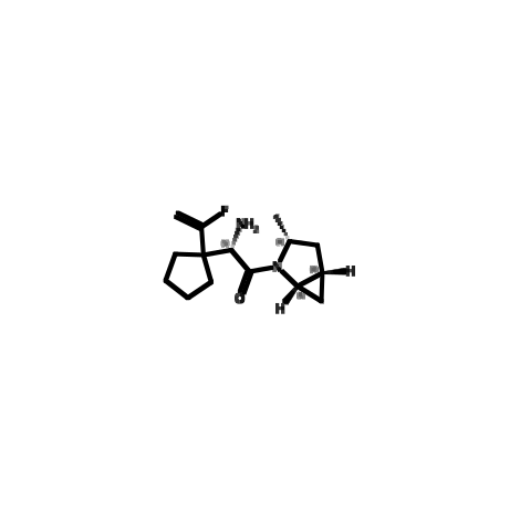 C=C(F)C1([C@H](N)C(=O)N2[C@H](C)C[C@@H]3C[C@@H]32)CCCC1